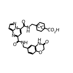 O=C1COc2ccc(CNC(=O)c3cc(C(=O)NCC45CCC(C(=O)O)(CC4)CC5)n4nccc4n3)cc2N1